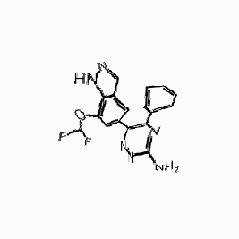 Nc1nnc(-c2cc(OC(F)F)c3[nH]ncc3c2)c(-c2ccccc2)n1